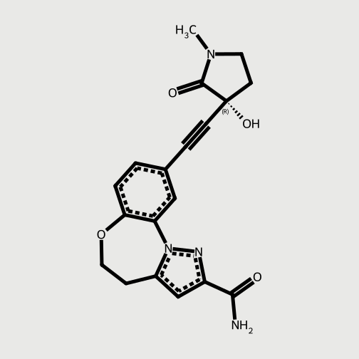 CN1CC[C@@](O)(C#Cc2ccc3c(c2)-n2nc(C(N)=O)cc2CCO3)C1=O